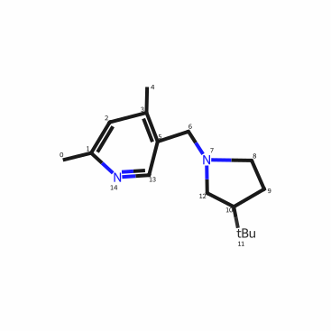 Cc1cc(C)c(CN2CCC(C(C)(C)C)C2)cn1